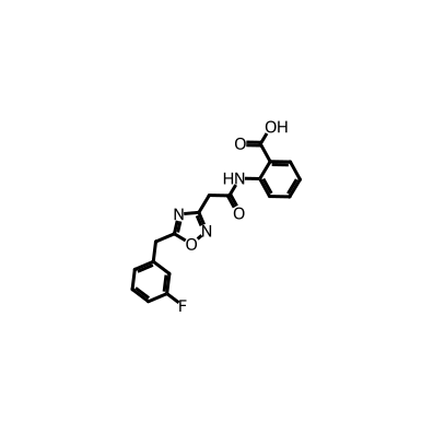 O=C(Cc1noc(Cc2cccc(F)c2)n1)Nc1ccccc1C(=O)O